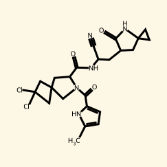 Cc1ccc(C(=O)N2CC3(CC2C(=O)NC(C#N)CC2CC4(CC4)NC2=O)CC(Cl)(Cl)C3)[nH]1